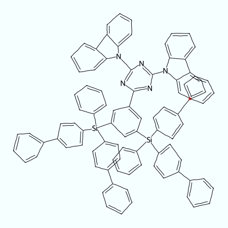 c1ccc(-c2ccc([Si](c3ccccc3)(c3ccc(-c4ccccc4)cc3)c3cc(-c4nc(-n5c6ccccc6c6ccccc65)nc(-n5c6ccccc6c6ccccc65)n4)cc([Si](c4ccccc4)(c4ccc(-c5ccccc5)cc4)c4ccc(-c5ccccc5)cc4)c3)cc2)cc1